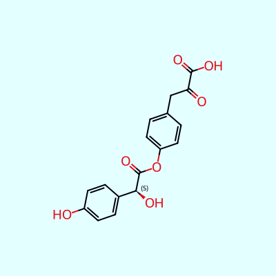 O=C(O)C(=O)Cc1ccc(OC(=O)[C@@H](O)c2ccc(O)cc2)cc1